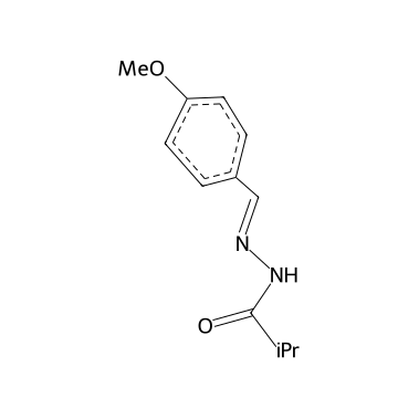 COc1ccc(C=NNC(=O)C(C)C)cc1